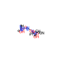 CC(C)[C@H](C(=O)N1C[C@H](O)C[C@H]1C(=O)N[C@@H](C)c1ccc(C#N)cc1)c1cc(OCC#Cc2ncc(OC3CC(Oc4cc(N5C6CC[C@@H]5CN(c5cc(-c7ccccc7O)nnc5N)C6)ccn4)C3)cn2)no1